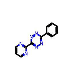 c1ccc(-c2nnc(-c3ncccn3)nn2)cc1